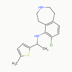 Cc1ccc(C(C)Nc2c(Cl)ccc3c2CCNCC3)s1